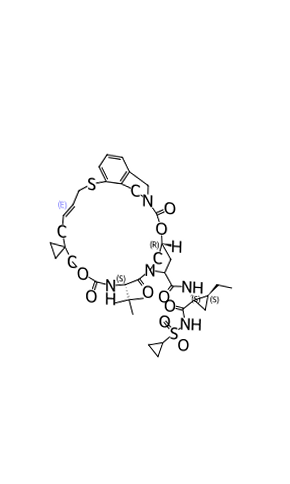 CC[C@H]1C[C@@]1(NC(=O)C1C[C@@H]2CN1C(=O)[C@H](C(C)(C)C)NC(=O)OCC1(C/C=C/CSc3cccc4c3CN(C4)C(=O)O2)CC1)C(=O)NS(=O)(=O)C1CC1